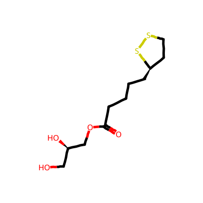 O=C(CCCC[C@@H]1CCSS1)OC[C@H](O)CO